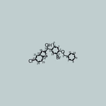 Cc1cc(OCc2ccccc2)c(Br)cc1C(O)c1cc2cc(Cl)ccc2s1